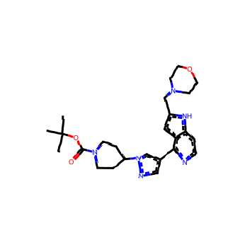 CC(C)(C)OC(=O)N1CCC(n2cc(-c3nccc4[nH]c(CN5CCOCC5)cc34)cn2)CC1